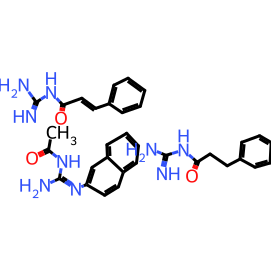 CC(=O)NC(N)=Nc1ccc2ccccc2c1.N=C(N)NC(=O)C=Cc1ccccc1.N=C(N)NC(=O)CCc1ccccc1